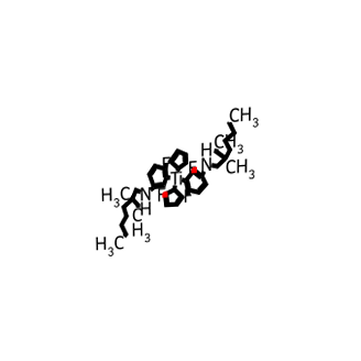 CCCCCC(C)(CC)CNc1ccc(F)[c]([Ti]([c]2c(F)ccc(NCC(C)(CC)CCCCC)c2F)([CH]2C=CC=C2)[CH]2C=CC=C2)c1F